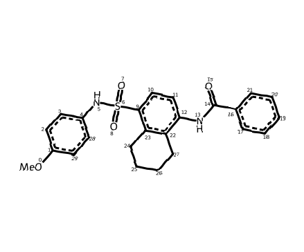 COc1ccc(NS(=O)(=O)c2ccc(NC(=O)c3ccccc3)c3c2CCCC3)cc1